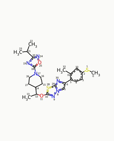 CSc1ccc(-c2cn3nc(OC(C)C4CCN(c5nc(C(C)C)no5)CC4)sc3n2)c(C)c1